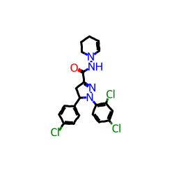 O=C(NN1C=CCCC1)C1=NN(c2ccc(Cl)cc2Cl)C(c2ccc(Cl)cc2)C1